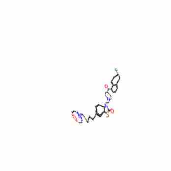 O=C(c1cccc2cc(F)ccc12)C1CCN(CCn2c(=O)sc3cc(CCCCN4CCOCC4)ccc32)CC1